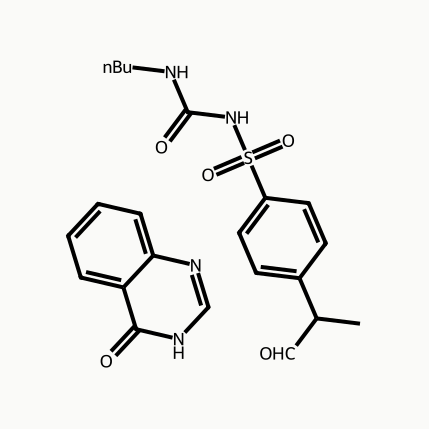 CCCCNC(=O)NS(=O)(=O)c1ccc(C(C)C=O)cc1.O=c1[nH]cnc2ccccc12